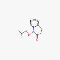 C=C(C)CON1C(=O)CCc2ccccc21